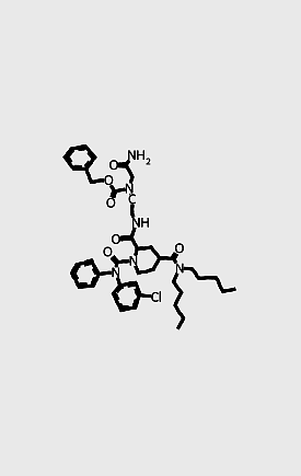 CCCCCN(CCCCC)C(=O)C1CCN(C(=O)N(c2ccccc2)c2cccc(Cl)c2)C(C(=O)NCCN(CC(N)=O)C(=O)OCc2ccccc2)C1